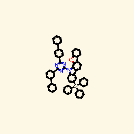 c1ccc(-c2ccc(-c3nc(-c4cccc(-c5ccccc5)c4)nc(-n4c5ccc([Si](c6ccccc6)(c6ccccc6)c6ccccc6)cc5c5ccc6c7ccccc7oc6c54)n3)cc2)cc1